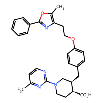 Cc1oc(-c2ccccc2)nc1CCOc1ccc(C[C@@H]2CN(c3nccc(C(F)(F)F)n3)CC[C@@H]2C(=O)O)cc1